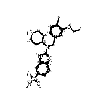 CCOc1cc(CN(c2nc3cc(S(N)(=O)=O)ccc3o2)C2CCNCC2)ccc1C